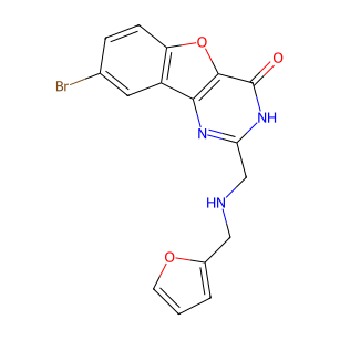 O=c1[nH]c(CNCc2ccco2)nc2c1oc1ccc(Br)cc12